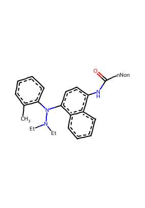 CCCCCCCCCC(=O)Nc1ccc(N(c2ccccc2C)N(CC)CC)c2ccccc12